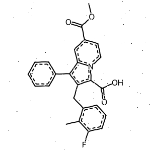 COC(=O)c1ccn2c(C(=O)O)c(Cc3cccc(F)c3C)c(-c3ccccc3)c2c1